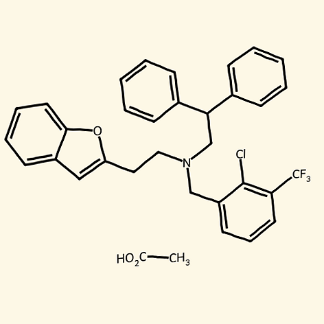 CC(=O)O.FC(F)(F)c1cccc(CN(CCc2cc3ccccc3o2)CC(c2ccccc2)c2ccccc2)c1Cl